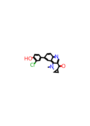 CN(C)c1c(C(=O)C2CC2)cnc2ccc(-c3ccc(O)c(Cl)c3)cc12